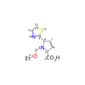 CCOCN1C(C(=O)O)C=CC1c1nccs1